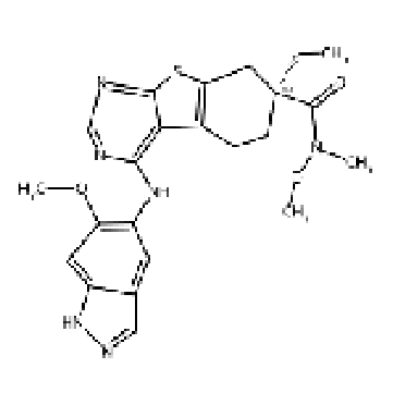 CC[C@]1(C(=O)N(C)OC)CCc2c(sc3ncnc(Nc4cc5cn[nH]c5cc4OC)c23)C1